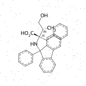 C[C@@H](CO)[C@](Cc1ccccc1)(NC1(c2ccccc2)c2ccccc2-c2ccccc21)C(=O)O